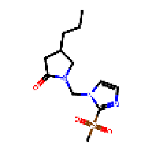 CCCC1CC(=O)N(Cn2ccnc2S(C)(=O)=O)C1